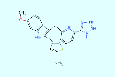 COc1ccc2c(Cc3cccc(C4=NNNN4)n3)c(-c3csc(C)c3)[nH]c2c1